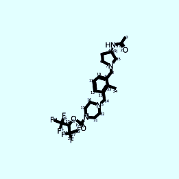 CC(=O)N[C@@H]1CCN(Cc2cccc(CN3CCN(C(=O)OC(C(F)(F)F)C(F)(F)F)CC3)c2C)C1